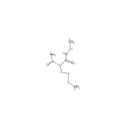 CCCCC(C(N)=O)C(=O)OCC